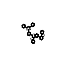 c1ccc(-c2cc(-c3ccccc3)nc(-c3cccc(-c4nc5ccc(-c6cccc7sc8ccccc8c67)cc5c5c4oc4ccccc45)c3)n2)cc1